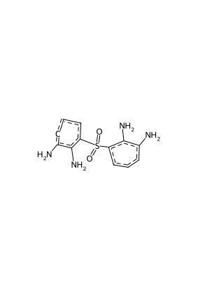 Nc1cccc(S(=O)(=O)c2cccc(N)c2N)c1N